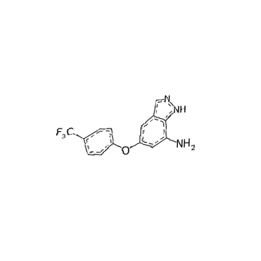 Nc1cc(Oc2ccc(C(F)(F)F)cc2)cc2cn[nH]c12